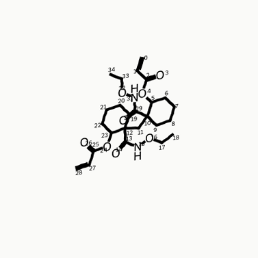 C=CC(=O)OC1CCCCC1(CC1(C(=O)NOCC)CCCCC1OC(=O)C=C)C(=O)NOCC